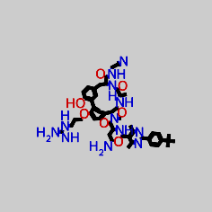 Cc1nc(-c2ccc(C(C)(C)C)cc2)nc(C)c1C(=O)NC(CCN)C(=O)N(C)C1C(=O)NC(C)C(=O)NC(C(=O)NCC#N)Cc2ccc(O)c(c2)-c2cc1ccc2OCCCNC(=N)N